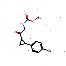 CC(C)(C)OC(=O)NCC(=O)C1CC1c1ccc(C#N)cc1